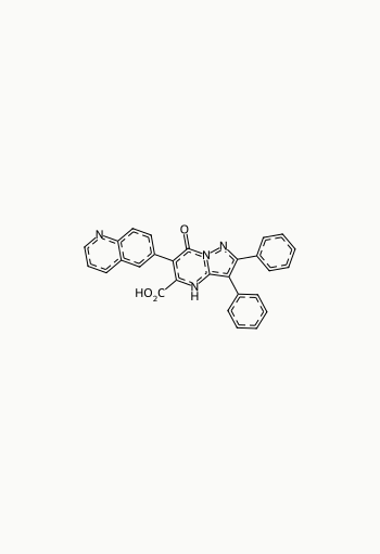 O=C(O)c1[nH]c2c(-c3ccccc3)c(-c3ccccc3)nn2c(=O)c1-c1ccc2ncccc2c1